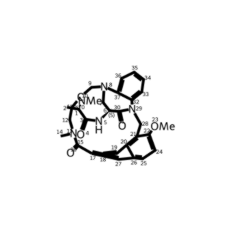 CN[C@@H](C)C(=O)N[C@H]1CN2CCCCN(C)C(=O)c3ccc4c(c(OC)ccc4c3)CN(C1=O)c1ccccc12